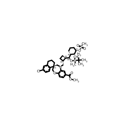 COC(=O)c1ccc2c(c1)N(C[C@@H]1CC[C@H]1[C@H](O[Si](C)(C)C(C)(C)C)[C@@H]1CCC[C@H](OS(C)(=O)=O)C1)C[C@@]1(CCCc3cc(Cl)ccc31)CO2